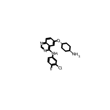 N[C@H]1CC[C@H](Oc2ccc3ncnc(Nc4ccc(F)c(Cl)c4)c3c2)CC1